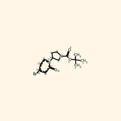 CC(C)(C)OC(=O)N1CCC(n2ccc(Br)cc2=O)C1